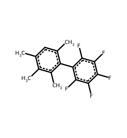 Cc1cc(C)c(-c2c(F)c(F)c(F)c(F)c2F)c(C)c1C